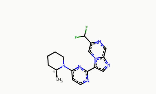 C[C@H]1CCCCN1c1ccnc(-c2cnc3cnc(C(F)F)cn23)n1